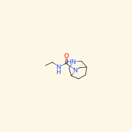 CCNC(=O)N1CC2CCC1CNC2